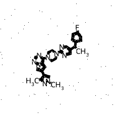 Cc1nn(C)cc1-c1cc2c(N3CCN(c4ncc(C(C)c5ccc(F)cc5)cn4)CC3)ncnn2c1